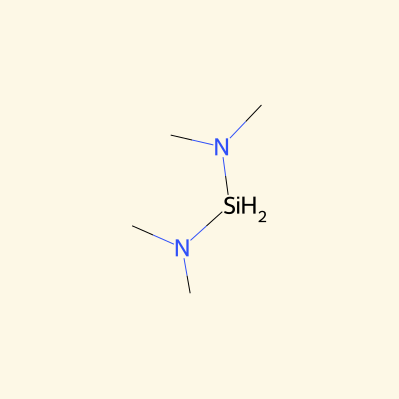 CN(C)[SiH2]N(C)C